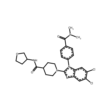 CN(C)C(=O)c1ccc(-n2c(N3CCC(C(=O)NC4CCOC4)CC3)nc3cc(Cl)c(Cl)cc32)cc1